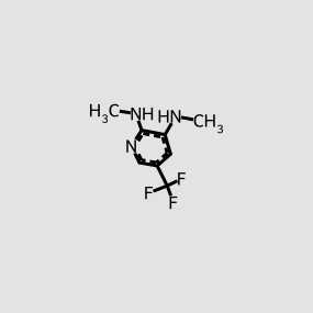 CNc1cc(C(F)(F)F)cnc1NC